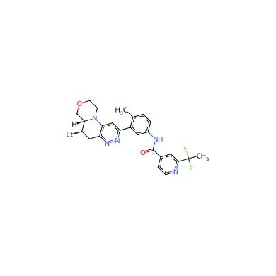 CC[C@@H]1Cc2nnc(-c3cc(NC(=O)c4ccnc(C(C)(F)F)c4)ccc3C)cc2N2CCOC[C@@H]12